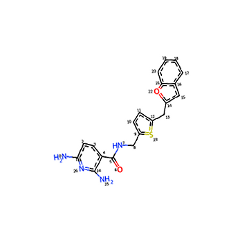 Nc1ccc(C(=O)NCc2ccc(Cc3cc4ccccc4o3)s2)c(N)n1